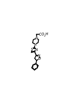 O=C(O)CN1CCN(c2nc(C3=NOC(c4ccccc4)C3)cs2)CC1